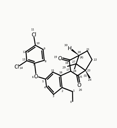 CCc1ccc(Oc2ccc(Cl)cc2Cl)cc1C1C(=O)[C@@H]2CC[C@](C)(C1=O)C2(C)C